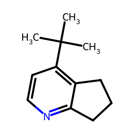 CC(C)(C)c1ccnc2c1CCC2